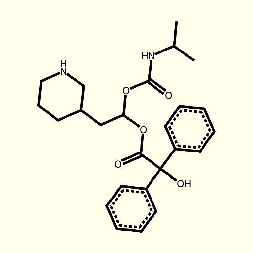 CC(C)NC(=O)OC(CC1CCCNC1)OC(=O)C(O)(c1ccccc1)c1ccccc1